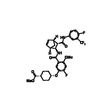 COc1cc(F)c(O[C@H]2CC[C@@H](C(=O)OC)CC2)cc1C(=O)N[C@@H]1[C@H](C(=O)Nc2ccc(F)c(C(F)(F)F)c2)[C@H]2C=C[C@@H]1C2